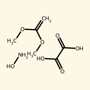 C=C(OC)OC.NO.O=C(O)C(=O)O